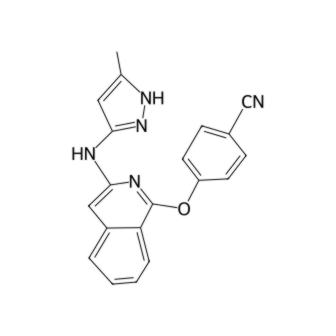 Cc1cc(Nc2cc3ccccc3c(Oc3ccc(C#N)cc3)n2)n[nH]1